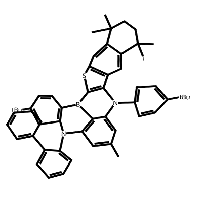 Cc1cc2c3c(c1)N(c1ccc(C(C)(C)C)cc1)c1c(sc4cc5c(cc14)C(C)(I)CCC5(C)C)B3c1ccc(C(C)(C)C)cc1N2c1ccccc1C1=CC=CCC1